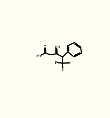 N=C(CC(=O)O)C(c1ccccc1)C(F)(F)F